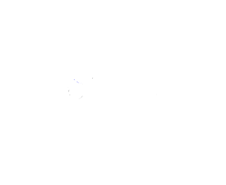 CCCCCCC(CC)c1cccnc1C(F)(F)F